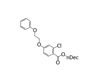 CCCCCCCCCCOC(=O)c1ccc(OCCOc2ccccc2)cc1Cl